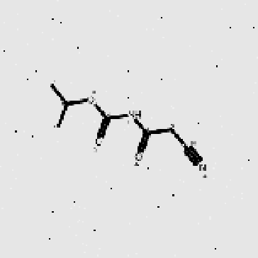 CC(C)OC(=O)NC(=O)CC#N